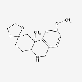 COc1ccc2c(c1)C1(C)CC3(CCC1NC2)OCCO3